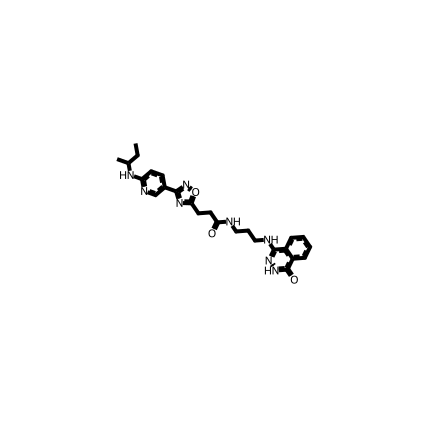 CCC(C)Nc1ccc(-c2noc(CCC(=O)NCCCNc3n[nH]c(=O)c4ccccc34)n2)cn1